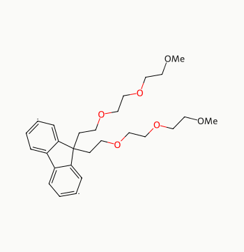 COCCOCCOCCC1(CCOCCOCCOC)c2c[c]ccc2-c2cc[c]cc21